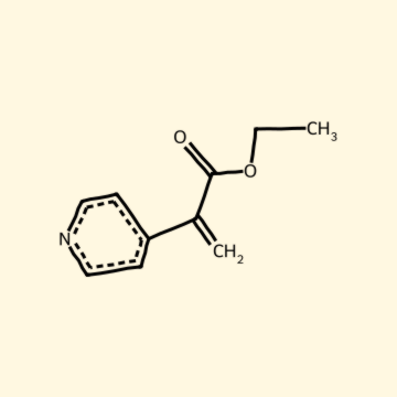 C=C(C(=O)OCC)c1ccncc1